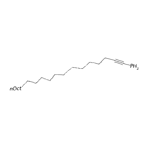 CCCCCCCCCCCCCCCCCCCC#CP